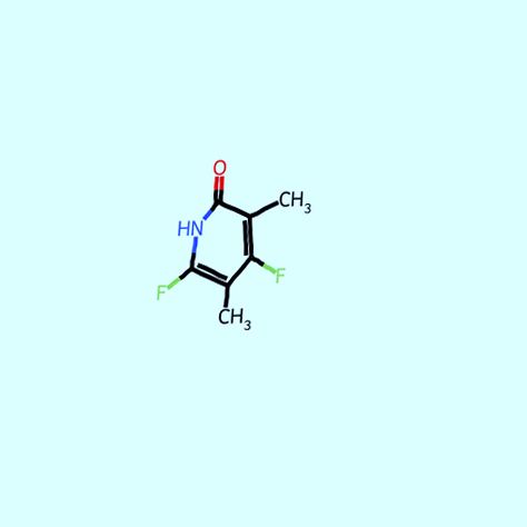 Cc1c(F)[nH]c(=O)c(C)c1F